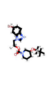 C[C@H](Cn1cnc2ccc(Br)cc21)OC(=O)N1CCCC(O[Si](C)(C)C(C)(C)C)C1